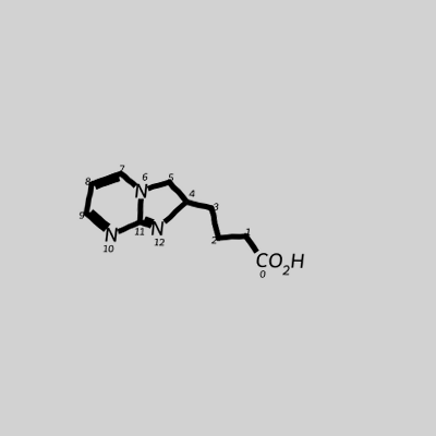 O=C(O)CCCC1CN2C=CC=NC2=N1